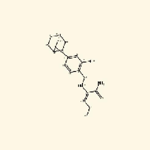 C=C(N)/C(=N\CC)NCc1ccc(C2CN3CCC2CC3)cc1F